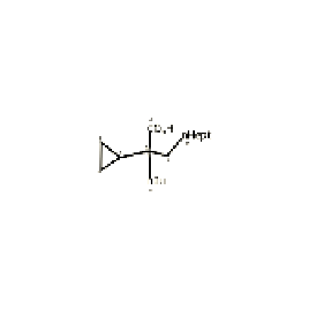 CCCCCCCCC(CCCC)(C(=O)O)C1CC1